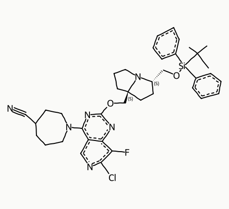 CC(C)(C)[Si](OC[C@@H]1CC[C@]2(COc3nc(N4CCCC(C#N)CC4)c4cnc(Cl)c(F)c4n3)CCCN12)(c1ccccc1)c1ccccc1